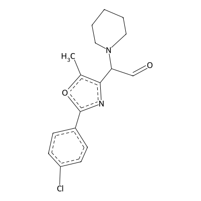 Cc1oc(-c2ccc(Cl)cc2)nc1C(C=O)N1CCCCC1